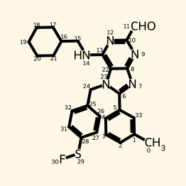 Cc1cccc(-c2nc3nc(C=O)nc(NCC4CCCCC4)c3n2Cc2ccc(SF)cc2)c1